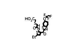 CCc1cc(C(=O)c2nc3ccc(OC(F)(F)CF)cc3s2)c(NC(=O)CSCC(=O)O)s1